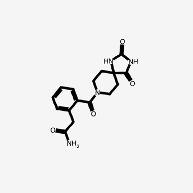 NC(=O)Cc1ccccc1C(=O)N1CCC2(CC1)NC(=O)NC2=O